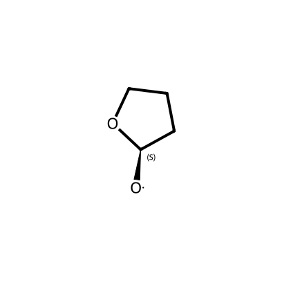 [O][C@@H]1CCCO1